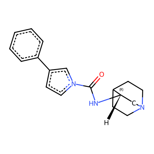 O=C(N[C@H]1CN2CCC1CC2)n1ccc(-c2ccccc2)c1